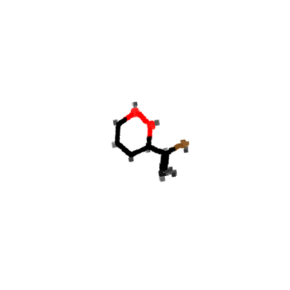 C=C(Br)C1CCCOO1